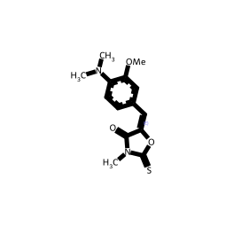 COc1cc(/C=C2/OC(=S)N(C)C2=O)ccc1N(C)C